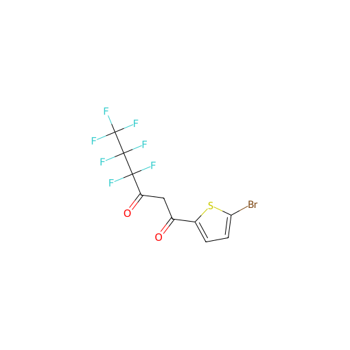 O=C(CC(=O)C(F)(F)C(F)(F)C(F)(F)F)c1ccc(Br)s1